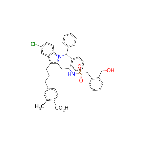 Cc1cc(CCCc2c(CCNS(=O)(=O)Cc3ccccc3CO)n(C(c3ccccc3)c3ccccc3)c3ccc(Cl)cc23)ccc1C(=O)O